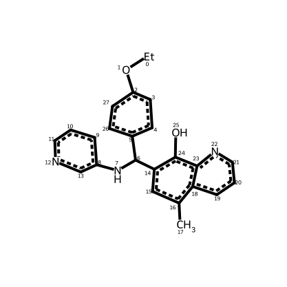 CCOc1ccc(C(Nc2cccnc2)c2cc(C)c3cccnc3c2O)cc1